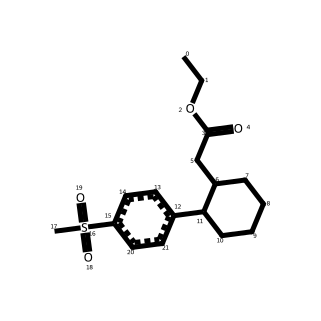 CCOC(=O)CC1CCCCC1c1ccc(S(C)(=O)=O)cc1